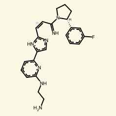 N=C(/C=C\c1ncc(-c2cccc(NCCN)n2)[nH]1)N1CCC[C@@H]1c1cccc(F)c1